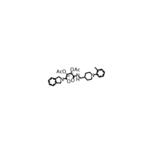 CC(=O)O[C@@H](C(=O)NCC1CCN(c2ccccc2C)CC1)[C@@H](OC(C)=O)C(=O)N1Cc2ccccc2C1